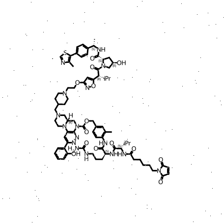 Cc1cc(COC(=O)N2C[C@H]3CN(CC4CCN(CCOc5cc([C@H](C(=O)N6C[C@H](O)C[C@H]6C(=O)N[C@@H](C)c6ccc(-c7scnc7C)cc6)C(C)C)on5)CC4)CCN3c3cc(-c4ccccc4O)nnc32)ccc1NC(=O)[C@H](CCCNC(N)=O)NC(=O)[C@@H](NC(=O)CCCCCN1C(=O)C=CC1=O)C(C)C